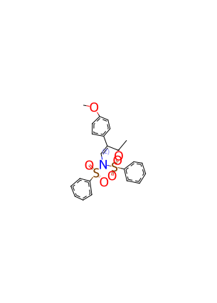 COc1ccc(/C(=C/N(S(=O)(=O)c2ccccc2)S(=O)(=O)c2ccccc2)C(C)=O)cc1